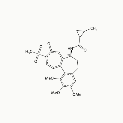 COc1cc2c(c(OC)c1OC)-c1ccc(S(C)(=O)=O)c(=O)cc1[C@@H](NC(=O)C1CC1C)CC2